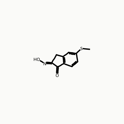 CSc1ccc2c(c1)CC(=NO)C2=O